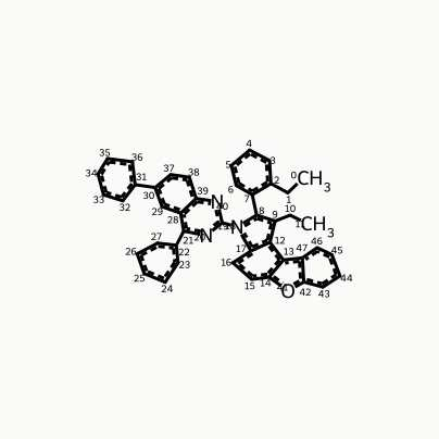 CCc1ccccc1-c1c(CC)c2c3c(ccc2n1-c1nc(-c2ccccc2)c2cc(-c4ccccc4)ccc2n1)oc1ccccc13